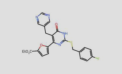 CCOC(=O)c1ccc(-c2nc(SCc3ccc(F)cc3)[nH]c(=O)c2Cc2cncnc2)o1